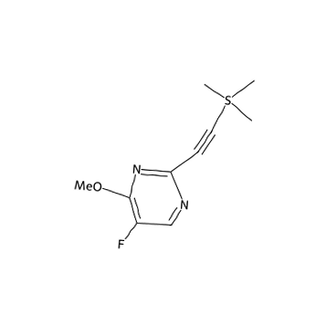 COc1nc(C#CS(C)(C)C)ncc1F